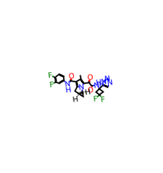 Cc1c(C(=O)Nc2ccc(F)c(F)c2)c2n(c1C(=O)C(=O)NC1(c3cnn[nH]3)CC(F)(F)C1)[C@H]1C[C@H]1C2